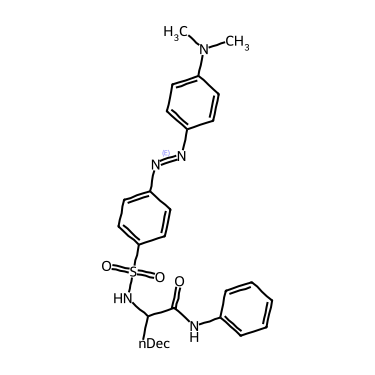 CCCCCCCCCCC(NS(=O)(=O)c1ccc(/N=N/c2ccc(N(C)C)cc2)cc1)C(=O)Nc1ccccc1